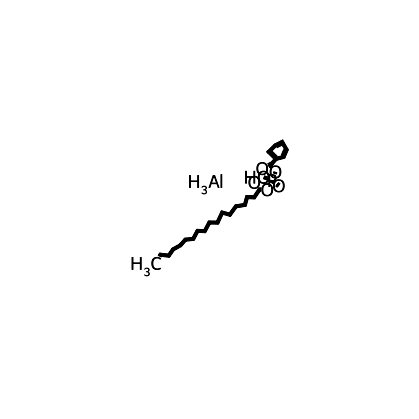 CCCCCCCCCCCCCCCCCC(=O)OP(=O)(O)OC(=O)c1ccccc1.[AlH3]